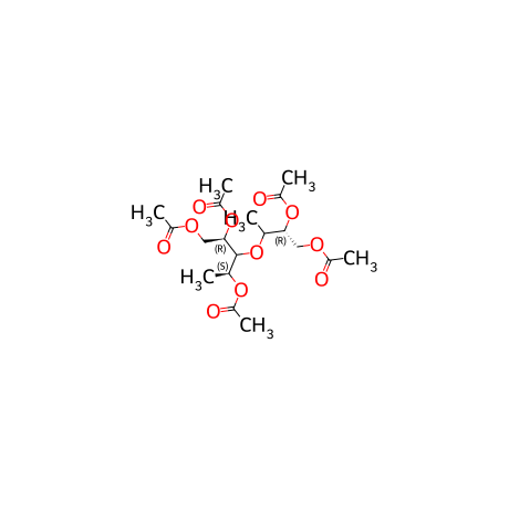 CC(=O)OC[C@@H](OC(C)=O)C(C)OC([C@H](C)OC(C)=O)[C@@H](COC(C)=O)OC(C)=O